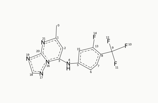 Cc1cc(Nc2ccc(C(F)(F)F)c(F)c2)n2ncnc2n1